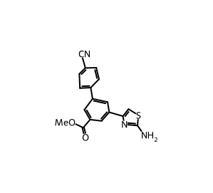 COC(=O)c1cc(-c2ccc(C#N)cc2)cc(-c2csc(N)n2)c1